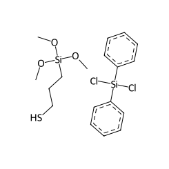 CO[Si](CCCS)(OC)OC.Cl[Si](Cl)(c1ccccc1)c1ccccc1